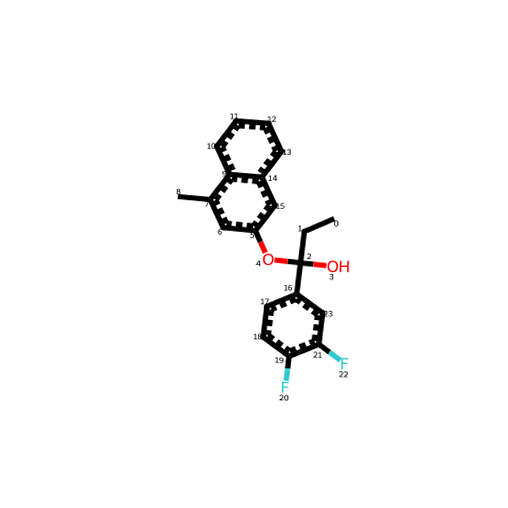 CCC(O)(Oc1cc(C)c2ccccc2c1)c1ccc(F)c(F)c1